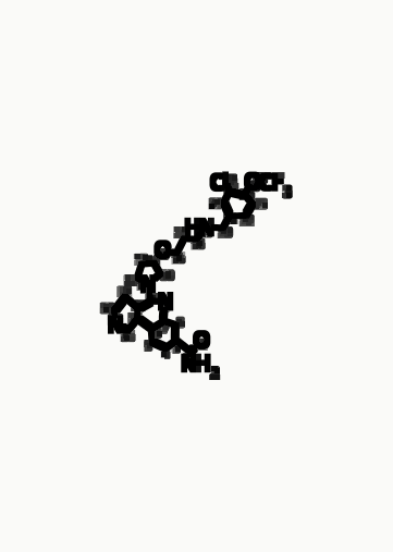 NC(=O)c1ccc2c(c1)nc(N1CC[C@H](OCCCNCc3ccc(OC(F)(F)F)c(Cl)c3)C1)c1ccncc12